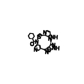 O=C(C1CCCCC1)n1c2cncc(c2)c2ncc3[nH]nc(c4nc5c(ccnc5c5ccc1s5)[nH]4)c3c2F